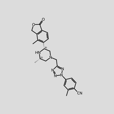 Cc1cc(-n2nnc(CN3C[C@@H](c4ccc5c(c4C)COC5=O)N[C@@H](C)C3)n2)ccc1C#N